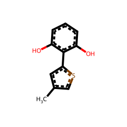 Cc1csc(-c2c(O)cccc2O)c1